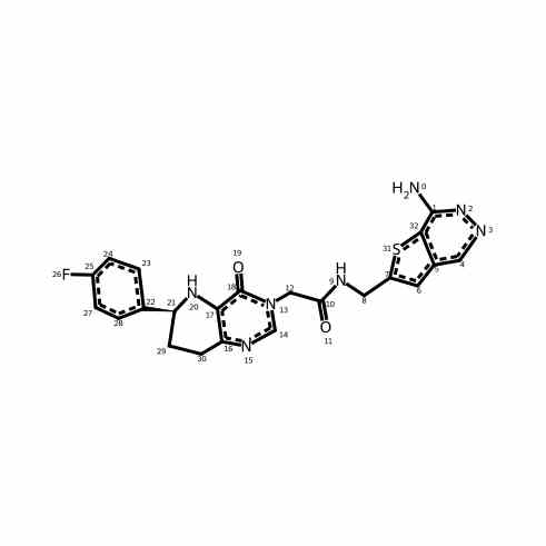 Nc1nncc2cc(CNC(=O)Cn3cnc4c(c3=O)N[C@H](c3ccc(F)cc3)CC4)sc12